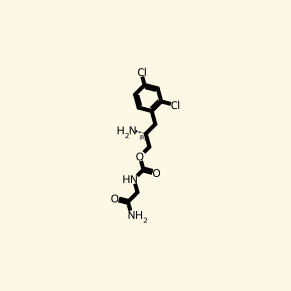 NC(=O)CNC(=O)OC[C@H](N)Cc1ccc(Cl)cc1Cl